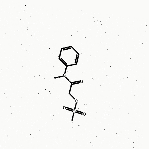 CN(C(=O)COS(C)(=O)=O)c1ccccc1